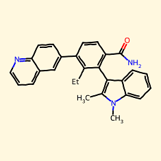 CCc1c(-c2ccc3ncccc3c2)ccc(C(N)=O)c1-c1c(C)n(C)c2ccccc12